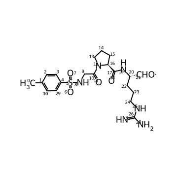 Cc1ccc(S(=O)(=O)NCC(=O)N2CCC[C@H]2C(=O)N[C@H]([C]=O)CCCNC(=N)N)cc1